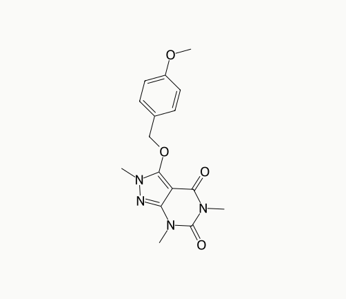 COc1ccc(COc2c3c(=O)n(C)c(=O)n(C)c3nn2C)cc1